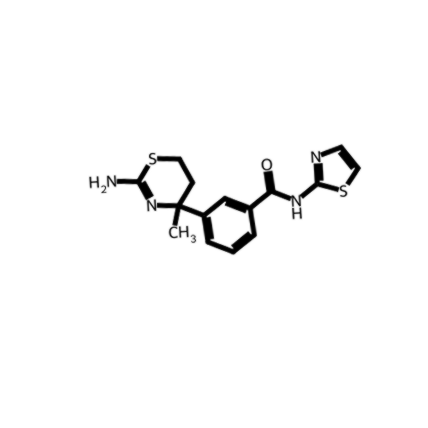 CC1(c2cccc(C(=O)Nc3nccs3)c2)CCSC(N)=N1